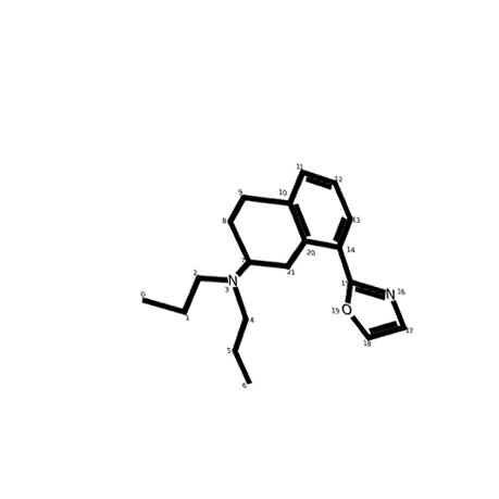 CCCN(CCC)C1CCc2cccc(-c3ncco3)c2C1